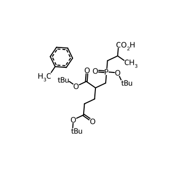 CC(CP(=O)(CC(CCC(=O)OC(C)(C)C)C(=O)OC(C)(C)C)OC(C)(C)C)C(=O)O.Cc1ccccc1